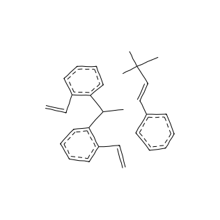 C=Cc1ccccc1C(C)c1ccccc1C=C.CC(C)(C)C=Cc1ccccc1